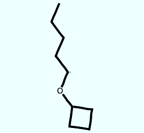 CCCC[CH]OC1CCC1